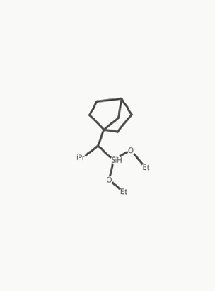 CCO[SiH](OCC)C(C(C)C)C12CCC(CC1)C2